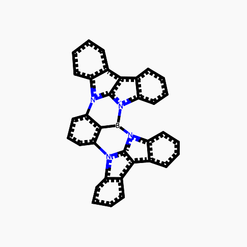 c1cc2c3c(c1)-n1c4ccccc4c4c5ccccc5n(c41)B3n1c3ccccc3c3c4ccccc4n-2c31